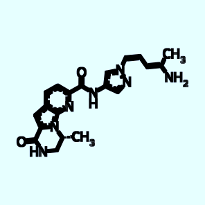 C/C(N)=C\C=C/n1cc(NC(=O)c2ccc3cc4n(c3n2)[C@H](C)CNC4=O)cn1